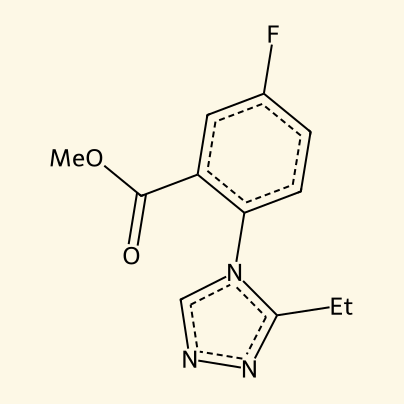 CCc1nncn1-c1ccc(F)cc1C(=O)OC